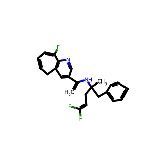 C=C(NC(C)(CC=C(F)F)Cc1ccccc1)c1cnc2c(c1)CC=CC=C2F